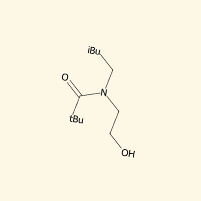 CCC(C)CN(CCO)C(=O)C(C)(C)C